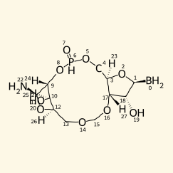 B[C@@H]1O[C@@H]2CO[PH](=O)O[C@@H]3[C@H](O)[C@@H](COCO[C@H]2[C@H]1O)O[C@H]3N